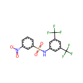 O=[N+]([O-])c1cccc(S(=O)(=O)Nc2cc(C(F)(F)F)cc(C(F)(F)F)c2)c1